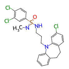 CN=S(=O)(NCCCN1c2ccccc2CCc2ccc(Cl)cc21)c1ccc(Cl)c(Cl)c1